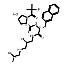 CCCC(C)(C)C(=O)N1CCC[C@H]1C(=O)N[C@H](Cc1ccc2ccccc2c1)C(=O)NCC(O)CNC[C@@H](C)O.Cl